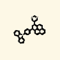 c1cc2ccc3c(-c4ccc(-n5c6ccccc6c6ccccc65)cc4)cc(-c4cncnc4)c4ccc(c1)c2c34